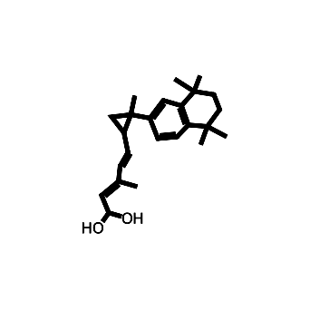 CC(/C=C/C1CC1(C)c1ccc2c(c1)C(C)(C)CCC2(C)C)=C\C(O)O